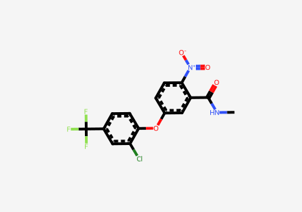 CNC(=O)c1cc(Oc2ccc(C(F)(F)F)cc2Cl)ccc1[N+](=O)[O-]